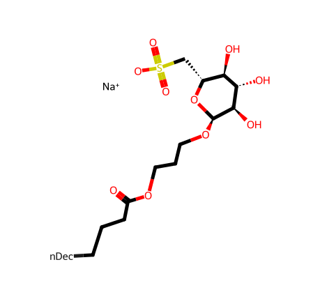 CCCCCCCCCCCCCC(=O)OCCCO[C@H]1O[C@H](CS(=O)(=O)[O-])[C@@H](O)[C@H](O)[C@H]1O.[Na+]